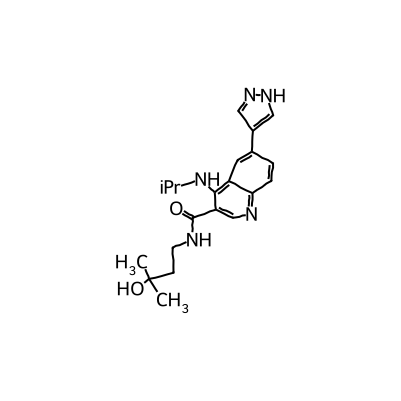 CC(C)Nc1c(C(=O)NCCC(C)(C)O)cnc2ccc(-c3cn[nH]c3)cc12